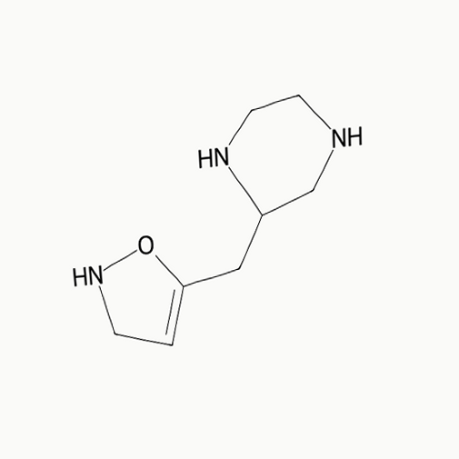 C1=C(CC2CNCCN2)ONC1